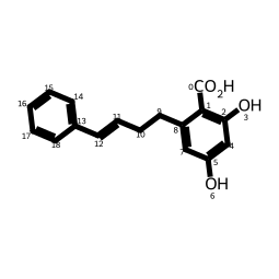 O=C(O)c1c(O)cc(O)cc1CCC=Cc1ccccc1